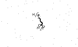 C=CSCCCC(=O)OC